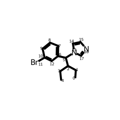 CCC(CC)C(c1cccc(Br)c1)n1ccnc1